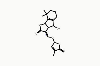 C=C1OC(O/C=C2/C(=O)OC3C4=C(CCCC4(C)C)C(O)C23)C=C1C